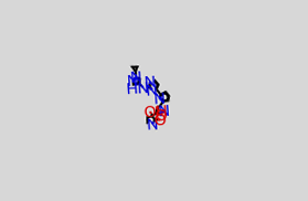 CN1CCC(O)(c2cc(-c3cccc(-c4ccnc(Nc5cnn(C6CC6)c5)n4)n3)no2)C1=O